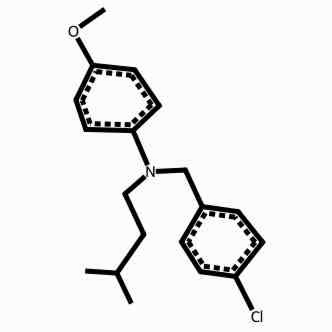 COc1ccc(N(CCC(C)C)Cc2ccc(Cl)cc2)cc1